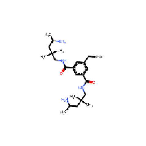 CC(=O)NCc1cc(C(=O)NCC(C)(C)CC(C)N)cc(C(=O)NCC(C)(C)CC(C)N)c1